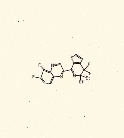 CCC1(CC)N=C(c2cnc3c(F)c(F)ccc3n2)c2sccc2C1(F)F